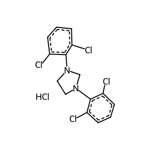 Cl.Clc1cccc(Cl)c1N1CCN(c2c(Cl)cccc2Cl)C1